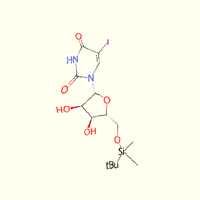 CC(C)(C)[Si](C)(C)OC[C@H]1O[C@@H](n2cc(I)c(=O)[nH]c2=O)[C@H](O)[C@@H]1O